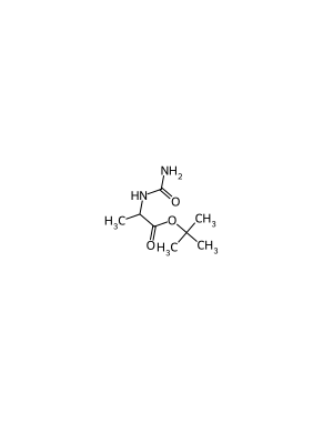 CC(NC(N)=O)C(=O)OC(C)(C)C